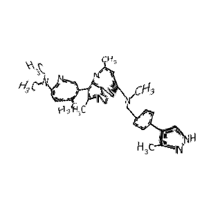 Cc1cc(N(C)Cc2ccc(-c3c[nH]nc3C)cc2)n2nc(C)c(-c3cnc(N(C)C)cc3C)c2n1